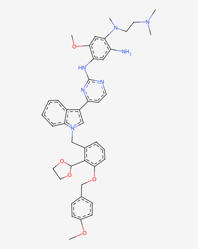 COc1ccc(COc2cccc(Cn3cc(-c4ccnc(Nc5cc(N)c(N(C)CCN(C)C)cc5OC)n4)c4ccccc43)c2C2OCCO2)cc1